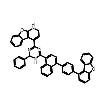 C1=C(C2=NC(c3ccccc3)NC(c3ccc(-c4ccc(-c5cccc6oc7ccccc7c56)cc4)c4ccccc34)=N2)c2c(oc3ccccc23)NC1